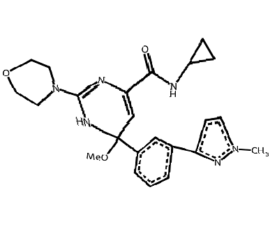 COC1(c2cccc(-c3ccn(C)n3)c2)C=C(C(=O)NC2CC2)N=C(N2CCOCC2)N1